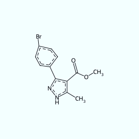 COC(=O)c1c(-c2ccc(Br)cc2)n[nH]c1C